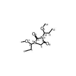 CCC(OC)N1CC(=O)N(C(CC)OC)C1=O